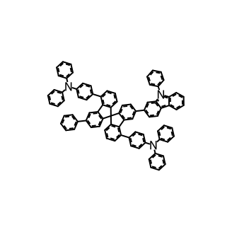 c1ccc(-c2ccc3c(c2)-c2c(-c4ccc(N(c5ccccc5)c5ccccc5)cc4)cccc2C32c3ccc(-c4ccc5c6ccccc6n(-c6ccccc6)c5c4)cc3-c3c(-c4ccc(N(c5ccccc5)c5ccccc5)cc4)cccc32)cc1